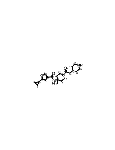 CC1(NC(=O)c2cc(C3CC3)on2)CCN(C(=O)CC2CCNCC2)CC1